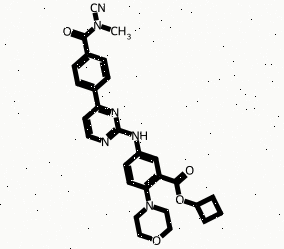 CN(C#N)C(=O)c1ccc(-c2ccnc(Nc3ccc(N4CCOCC4)c(C(=O)OC4CCC4)c3)n2)cc1